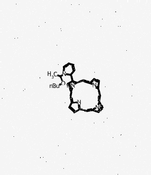 CCCCOC(C)N1C=CC=CC1c1cc2cc3nc(cc4ccc(cc5nc(cc1[nH]2)C=C5)[nH]4)C=C3